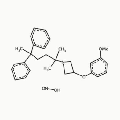 COc1cccc(OC2CN(C(C)(C)CCC(C)(c3ccccc3)c3ccccc3)C2)c1.O=NO